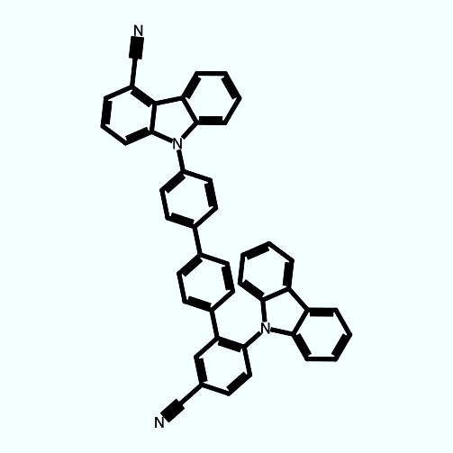 N#Cc1ccc(-n2c3ccccc3c3ccccc32)c(-c2ccc(-c3ccc(-n4c5ccccc5c5c(C#N)cccc54)cc3)cc2)c1